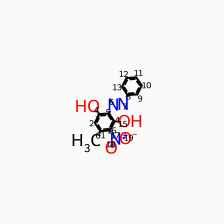 Cc1cc(O)c(N=Nc2ccccc2)c(O)c1[N+](=O)[O-]